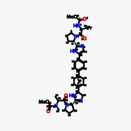 COC(=O)N[C@H](C(=O)N1CCC[C@H]1c1ncc(-c2ccc(C34CCC(C5CN=C([C@@H]6CCCN6C(=O)C(C)N(C)C(=O)OC)N5)(CC3)CC4)cc2)[nH]1)C(C)C